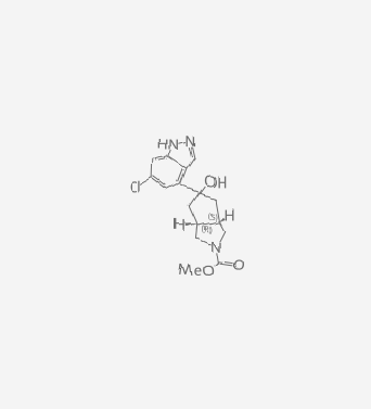 COC(=O)N1C[C@@H]2CC(O)(c3cc(Cl)cc4[nH]ncc34)C[C@@H]2C1